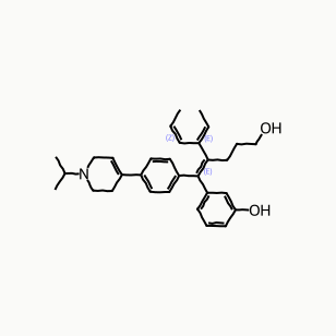 C\C=C/C(=C\C)C(/CCCO)=C(\c1ccc(C2=CCN(C(C)C)CC2)cc1)c1cccc(O)c1